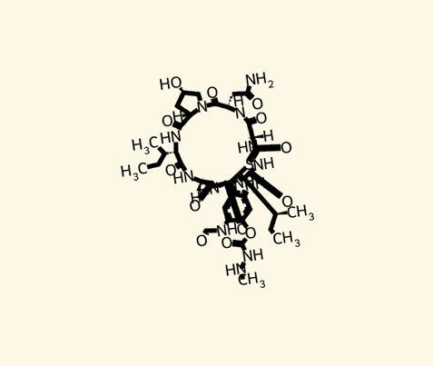 CCC(C)[C@@H]1NC(=O)[C@@H]2C[C@@H](O)CN2C(=O)[C@H](CC(N)=O)NC(=O)[C@@H]2CSc3[nH]c4cc(OC(=O)NNC)c(NC=O)cc4c3C[C@H](NC1=O)C(=O)NCC(=O)N[C@@H]([C@@H](C)CC)C(=O)NCC(=O)N2